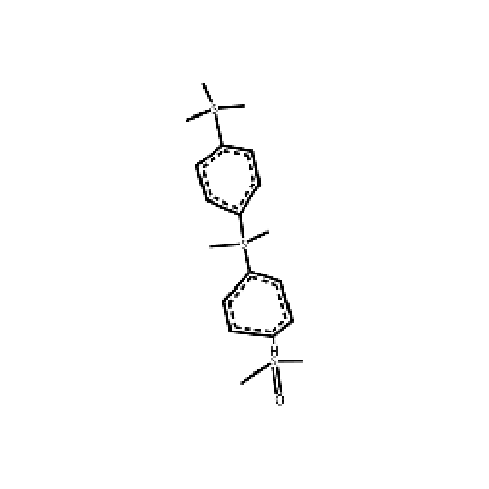 CS(C)(C)c1ccc(S(C)(C)c2ccc([SH](C)(C)=O)cc2)cc1